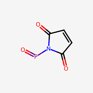 O=PN1C(=O)C=CC1=O